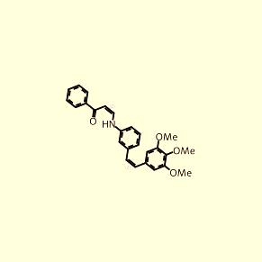 COc1cc(/C=C\c2cccc(N/C=C\C(=O)c3ccccc3)c2)cc(OC)c1OC